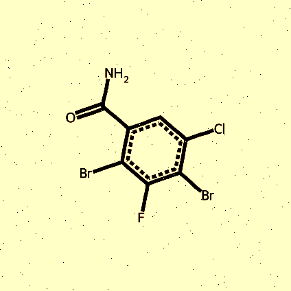 NC(=O)c1cc(Cl)c(Br)c(F)c1Br